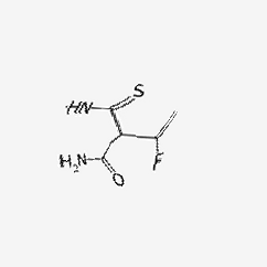 C=C(F)C(C(N)=O)C([NH])=S